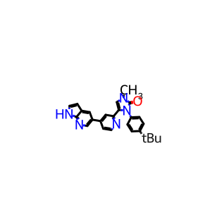 Cn1cc(-c2cc(-c3cnc4[nH]ccc4c3)ccn2)n(-c2ccc(C(C)(C)C)cc2)c1=O